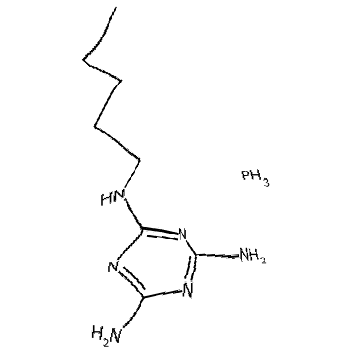 CCCCCNc1nc(N)nc(N)n1.P